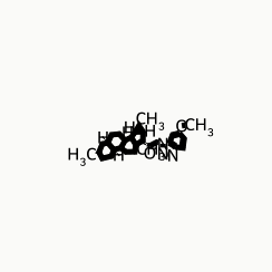 COc1ccc2nnn(CC(=O)[C@H]3[C@H]4[C@@H](C)[C@H]4C4[C@@H]5CC[C@@H]6C[C@@H](C)CC[C@@H]6C5CC[C@@]43C)c2c1